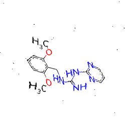 COc1cccc(OC)c1CNC(=N)Nc1ncccn1